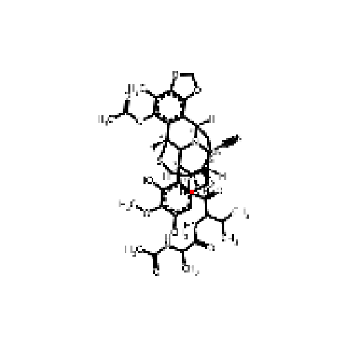 COc1c(C)cc2c(c1O)[C@H]1C3[C@@H]4SC[C@H](NC(=O)C(NC(=O)C(C)NC(C)=O)C(C)C)C(=O)OC[C@@H](c5c6c(c(C)c(OC(C)=O)c54)OCO6)N3[C@@H](C#N)[C@H](C2)N1C